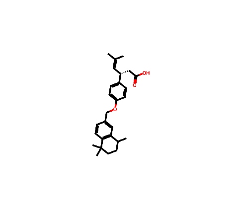 CC(C)=C[C@H](CC(=O)O)c1ccc(OCc2ccc3c(c2)C(C)CCC3(C)C)cc1